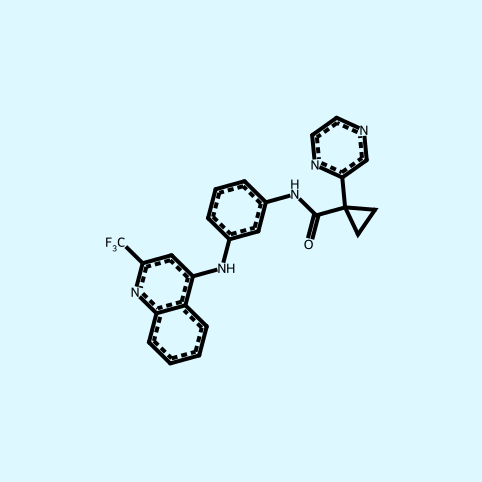 O=C(Nc1cccc(Nc2cc(C(F)(F)F)nc3ccccc23)c1)C1(c2cnccn2)CC1